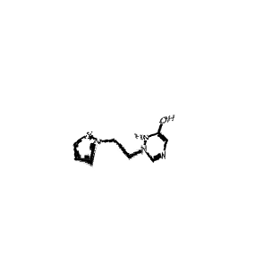 OC1=CN=CN(CCn2cccn2)N1